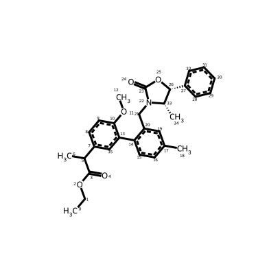 CCOC(=O)C(C)c1ccc(OC)c(-c2ccc(C)cc2CN2C(=O)O[C@H](c3ccccc3)[C@@H]2C)c1